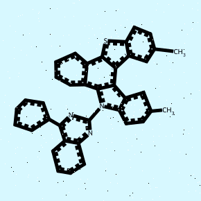 Cc1ccc2sc3c4ccccc4c4c(c5cc(C)ccc5n4-c4nc(-c5ccccc5)c5ccccc5n4)c3c2c1